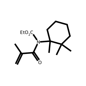 C=C(C)C(=O)N(C(=O)OCC)C1(C)CCCCC1(C)C